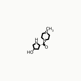 CN1CCN(C(=O)[C@@H]2C[C@@H](O)CN2)CC1